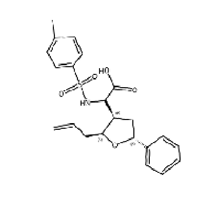 C=CC[C@@H]1O[C@@H](c2ccccc2)C[C@@H]1C(NS(=O)(=O)c1ccc(C)cc1)C(=O)O